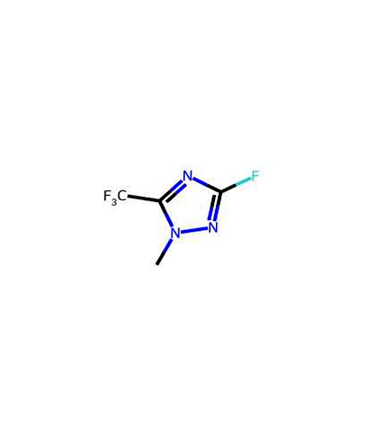 Cn1nc(F)nc1C(F)(F)F